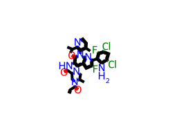 C=CC(=O)N1CC2C(=O)Nc3c(c4cc(F)c(-c5c(N)c(Cl)cc(Cl)c5F)nc4n(-c4c(C)ccnc4C(C)C)c3=O)N2CC1C